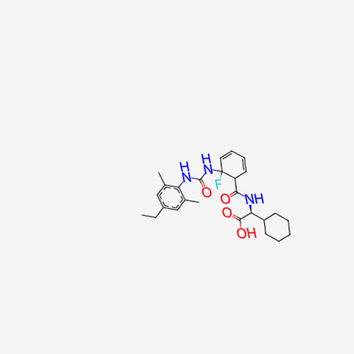 CCc1cc(C)c(NC(=O)NC2(F)C=CC=CC2C(=O)N[C@H](C(=O)O)C2CCCCC2)c(C)c1